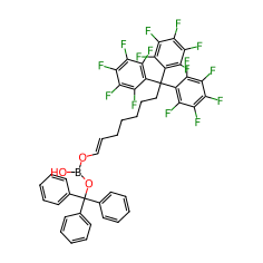 OB(OC=CCCCCCC(c1c(F)c(F)c(F)c(F)c1F)(c1c(F)c(F)c(F)c(F)c1F)c1c(F)c(F)c(F)c(F)c1F)OC(c1ccccc1)(c1ccccc1)c1ccccc1